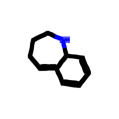 C1=CC2=CCCCNC2C=C1